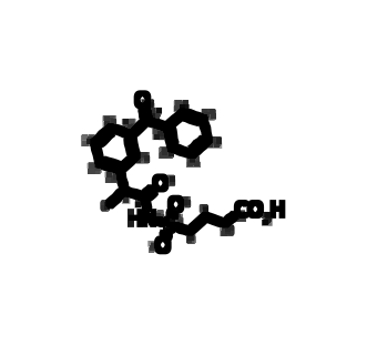 CC(C(=O)NS(=O)(=O)CCCC(=O)O)c1cccc(C(=O)c2ccccc2)c1